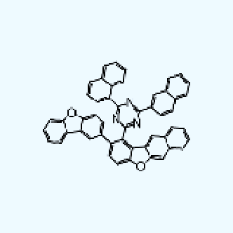 c1ccc2cc(-c3nc(-c4cccc5ccccc45)nc(-c4c(-c5ccc6oc7ccccc7c6c5)ccc5oc6cc7ccccc7cc6c45)n3)ccc2c1